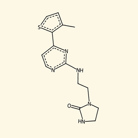 Cc1ccsc1-c1ccnc(NCCN2CCNC2=O)n1